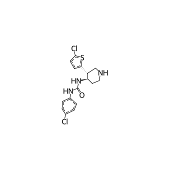 O=C(Nc1ccc(Cl)cc1)N[C@@H]1CCNC[C@H]1c1ccc(Cl)s1